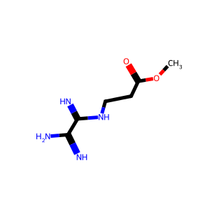 COC(=O)CCNC(=N)C(=N)N